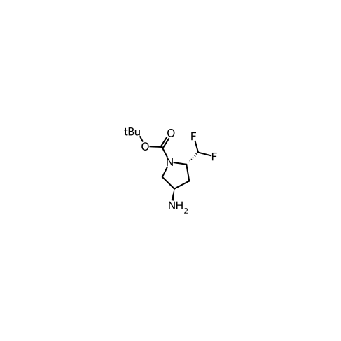 CC(C)(C)OC(=O)N1C[C@H](N)C[C@H]1C(F)F